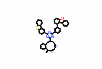 C=C1/C=C\C=C/C/C(c2nc(-c3cccc(-c4cccc5oc6ccccc6c45)c3)nc(-c3ccc4sc5ccccc5c4c3)n2)=C\c2ccccc21